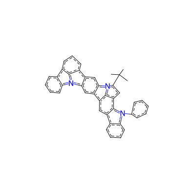 CC(C)(C)c1cc2c3c(cc4c5cc6c(cc5n1c42)c1cccc2c4ccccc4n6c21)c1ccccc1n3-c1ccccc1